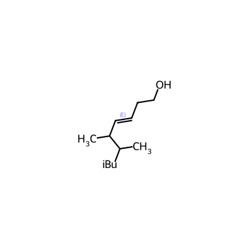 CCC(C)C(C)C(C)/C=C/CCO